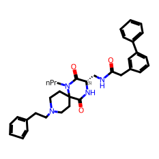 CCCN1C(=O)[C@H](CNC(=O)Cc2cccc(-c3ccccc3)c2)NC(=O)C12CCN(CCc1ccccc1)CC2